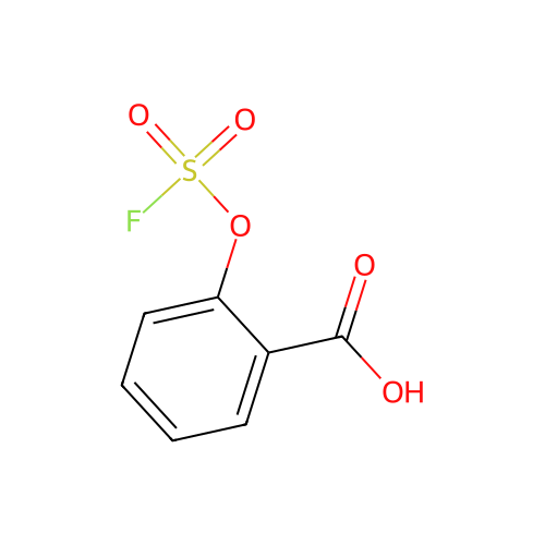 O=C(O)c1ccccc1OS(=O)(=O)F